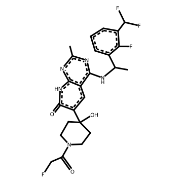 Cc1nc(NC(C)c2cccc(C(F)F)c2F)c2cc(C3(O)CCN(C(=O)CF)CC3)c(=O)[nH]c2n1